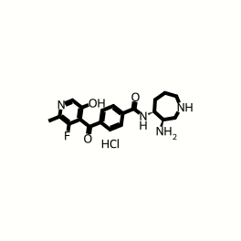 Cc1ncc(O)c(C(=O)c2ccc(C(=O)N[C@@H]3CCCNC[C@H]3N)cc2)c1F.Cl